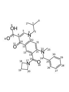 CC(C)Cn1cc(C(=O)O)c(=O)c2cc(C(=O)N3CCC3)c(N(C)Cc3ccccc3)cc21